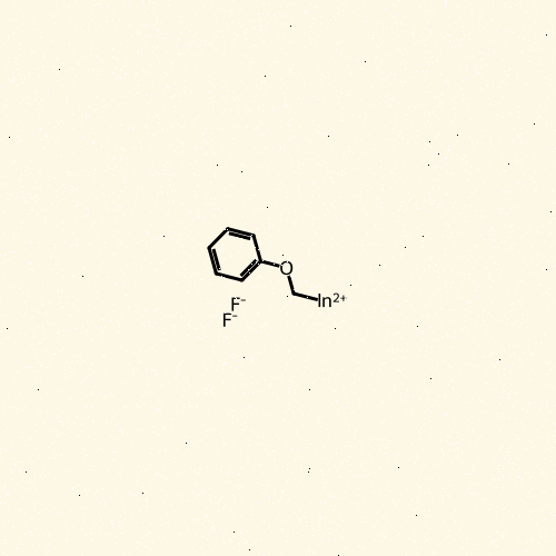 [F-].[F-].[In+2][CH2]Oc1ccccc1